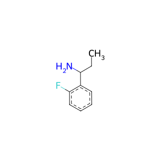 CCC(N)c1ccccc1F